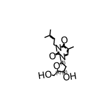 CC(C)=CCn1c(=O)c(C)cn([C@H]2C[C@@H](O)[C@@H](CO)O2)c1=O